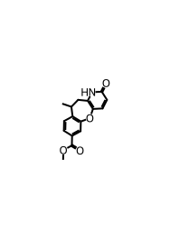 COC(=O)c1ccc2c(c1)Oc1ccc(=O)[nH]c1CC2C